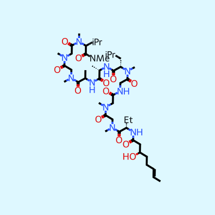 C/C=C/CCC(O)CC(=O)N[C@@H](CC)C(=O)N(C)CC(=O)N(C)CC(=O)NCC(=O)N(C)[C@@H](CC(C)C)C(=O)N[C@@H](C)C(=O)NC(C)C(=O)N(C)CC(=O)N(C)CC(=O)N(C)C(C(=O)NC)C(C)C